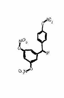 O=[N+]([O-])Oc1ccc(C(S)c2cc(O[N+](=O)[O-])cc(O[N+](=O)[O-])c2)cc1